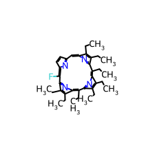 CCC1=C(CC)C2=NC1=CC1=NC(=C(F)C3=NC(=C(CC)C4=NC(=C2CC)C(CC)=C4CC)C(CC)=C3CC)C=C1